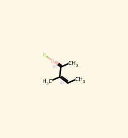 C/C=C(C)\C(C)=B/F